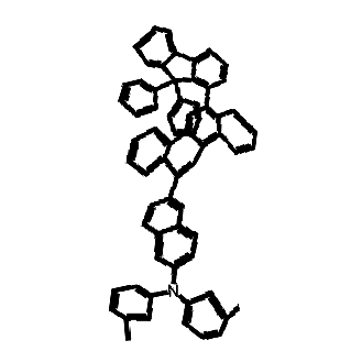 Cc1cccc(N(c2cccc(C)c2)c2ccc3cc(-c4cc5c6ccccc6c(-c6cccc7c6C(c6ccccc6)(c6ccccc6)c6ccccc6-7)cc5c5ccccc45)ccc3c2)c1